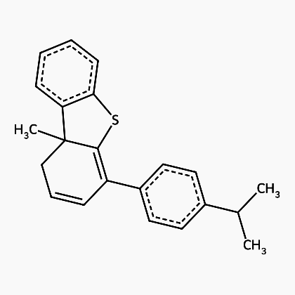 CC(C)c1ccc(C2=C3Sc4ccccc4C3(C)CC=C2)cc1